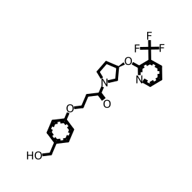 O=C(CCOc1ccc(CO)cc1)N1CC[C@@H](Oc2ncccc2C(F)(F)F)C1